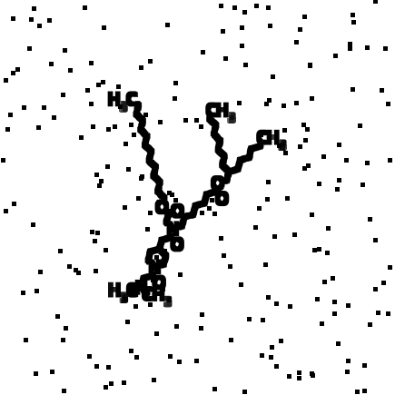 CCCCCCCCCCCCCCOC(=O)CN(CCCCCCC(=O)OCC(CCCCCC)CCCCCCCC)C(=O)CC1CCN(C(=O)CN(C)C)CC1